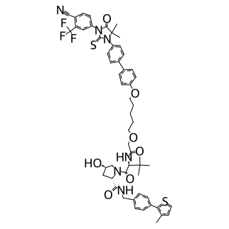 Cc1ccsc1-c1ccc(CNC(=O)[C@@H]2C[C@@H](O)CN2C(=O)[C@@H](NC(=O)COCCCCCOc2ccc(-c3ccc(N4C(=S)N(c5ccc(C#N)c(C(F)(F)F)c5)C(=O)C4(C)C)cc3)cc2)C(C)(C)C)cc1